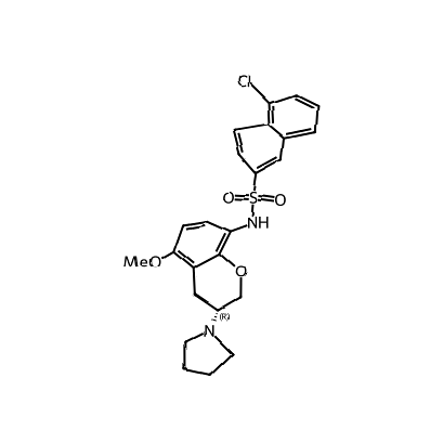 COc1ccc(NS(=O)(=O)c2ccc3c(Cl)cccc3c2)c2c1C[C@@H](N1CCCC1)CO2